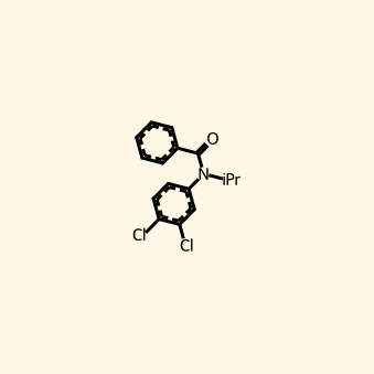 CC(C)N(C(=O)c1ccccc1)c1ccc(Cl)c(Cl)c1